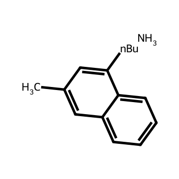 CCCCc1cc(C)cc2ccccc12.N